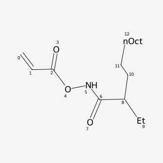 C=CC(=O)ONC(=O)C(CC)CCCCCCCCCC